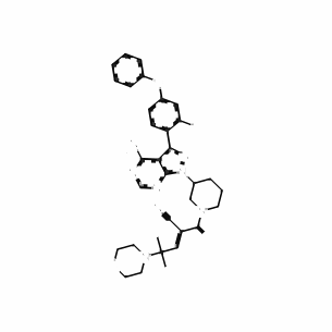 CC(C)(C=C(C#N)C(=O)N1CCCC(n2nc(-c3ccc(Oc4ccccc4)cc3F)c3c(N)ncnc32)C1)N1CCOCC1